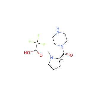 CN1CCC[C@@H]1C(=O)N1CCNCC1.O=C(O)C(F)(F)F